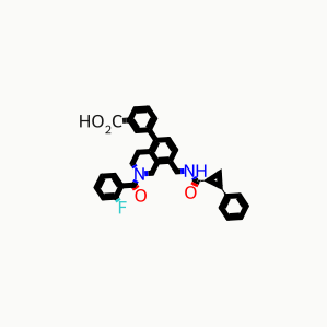 O=C(O)c1cccc(-c2ccc(CNC(=O)[C@@H]3C[C@@H]3c3ccccc3)c3c2CCN(C(=O)c2ccccc2F)C3)c1